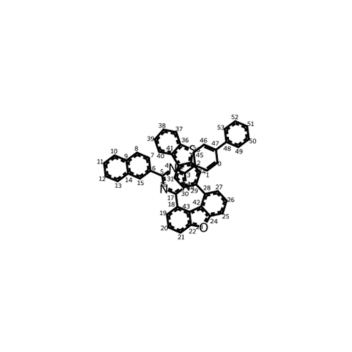 C1=CC(c2nc(-c3ccc4ccccc4c3)nc(-c3cccc4oc5cccc(-c6ccc7c(c6)sc6ccccc67)c5c34)n2)CC=C1c1ccccc1